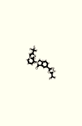 O=C1c2cc(-c3nnc(C(F)F)o3)ccc2CN1c1cccn2cc(C(F)(F)F)nc12